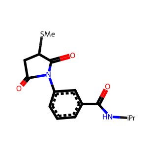 CSC1CC(=O)N(c2cccc(C(=O)NC(C)C)c2)C1=O